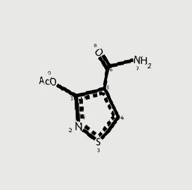 CC(=O)Oc1nscc1C(N)=O